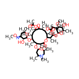 CON=C1C[C@@H](C)O[C@@H](O[C@@H]2[C@@H](C)[C@H](O[C@H]3CC(C)N(C)C[C@H](C)O3)[C@@H](C)C(=O)O[C@H]([C@@H](C)CO[C@@H]3O[C@H](C)[C@@H](O)[C@@H](OC)[C@H]3OC)[C@H](C)[C@@H](OC(=O)CC(C)C)[C@@H](C)C(=O)[C@@](C)(OC(C)=O)C[C@@H]2C)[C@@H]1O